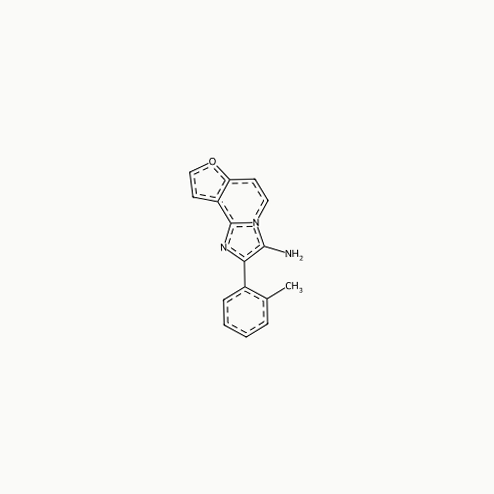 Cc1ccccc1-c1nc2c3ccoc3ccn2c1N